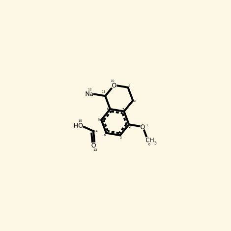 COc1cccc2c1CCO[CH]2[Na].O=CO